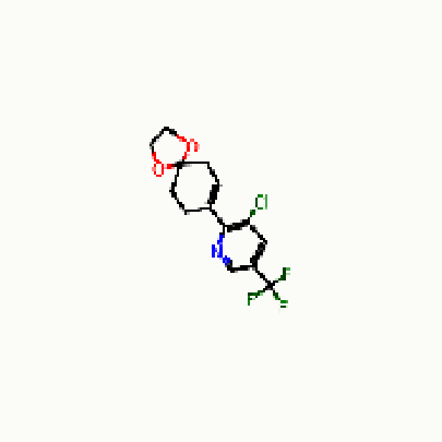 FC(F)(F)c1cnc(C2=CCC3(CC2)OCCO3)c(Cl)c1